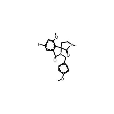 COc1ccc(CN2C(=O)c3cc(F)cc(OC)c3[C@@]23CCN(C)C3=O)cc1